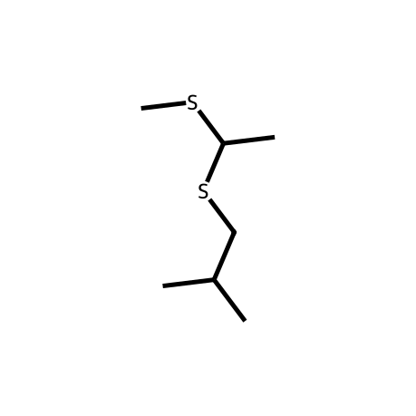 CSC(C)SCC(C)C